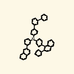 c1ccc(-c2cccc(-c3ccc(N(c4ccc(-c5c(-c6ccccc6)ccc6ccccc56)cc4)c4cccc(-c5ccc6ccccc6c5)c4)cc3)c2)cc1